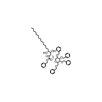 CCCCCCCCCCCCCC[C@@H](O)[C@@H](O)[C@H](CC[C@H]1OC(COCc2ccccc2)[C@H](OCc2ccccc2)[C@H](OCc2ccccc2)C1OCc1ccccc1)NC(=O)OCc1ccccc1